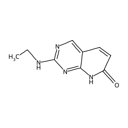 CCNc1ncc2ccc(=O)[nH]c2n1